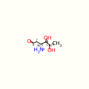 C[C@H](O)[C@H](O)[C@H](N)CC=O